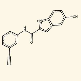 C#Cc1cccc(NC(=O)c2cc3cc(O)ccc3[nH]2)c1